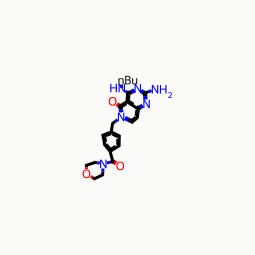 CCCCNc1nc(N)nc2ccn(Cc3ccc(C(=O)N4CCOCC4)cc3)c(=O)c12